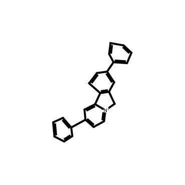 c1ccc(-c2ccc3c(c2)C[n+]2ccc(-c4ccccc4)cc2-3)cc1